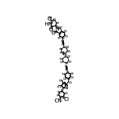 Cc1c(-c2ccc(C#N)c(Cl)c2)nn(Cc2ccc(C#C[C@H]3CC[C@H](N4CCC(C#Cc5ccc6c(c5)C(=O)N(C5CCC(=O)NC5=O)C6)CC4)CC3)cc2)c1C